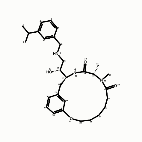 CC(C)c1cccc(CNC[C@@H](O)[C@@H]2Cc3cccc(c3)OCCCCCC(=O)N(C)[C@@H](C)C(=O)N2)c1